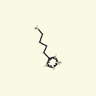 CCC(C)CCCCc1nn[nH]n1